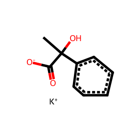 CC(O)(C(=O)[O-])c1ccccc1.[K+]